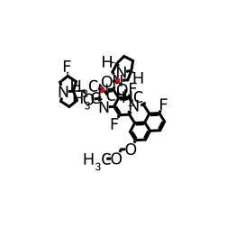 C#Cc1c(F)ccc2cc(OCOC)cc(-c3nc(F)c4c(N5C[C@H]6CC[C@@H](C5)N6C(=O)OC(C)(C)C)nc(OC[C@@]56CCCN5C[C@H](F)C6)nc4c3F)c12